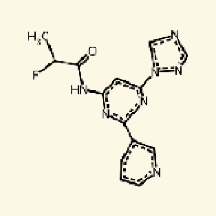 CC(F)C(=O)Nc1cc(-n2cncn2)nc(-c2cccnc2)n1